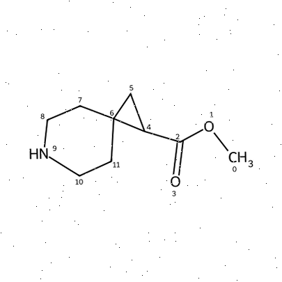 COC(=O)C1CC12CCNCC2